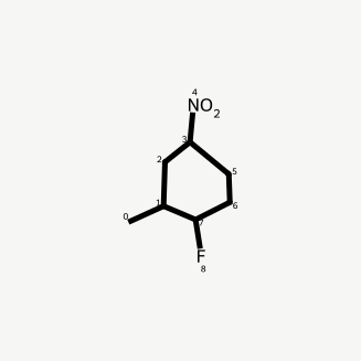 CC1CC([N+](=O)[O-])CCC1F